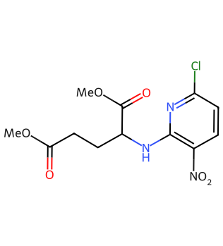 COC(=O)CCC(Nc1nc(Cl)ccc1[N+](=O)[O-])C(=O)OC